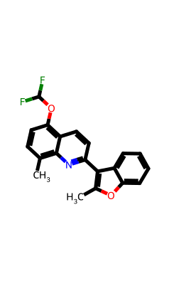 Cc1oc2ccccc2c1-c1ccc2c(OC(F)F)ccc(C)c2n1